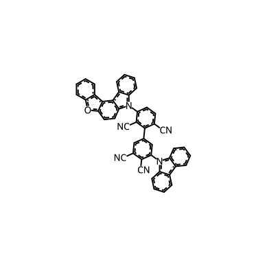 N#Cc1cc(-c2c(C#N)ccc(-n3c4ccccc4c4c5c(ccc43)oc3ccccc35)c2C#N)cc(-n2c3ccccc3c3ccccc32)c1C#N